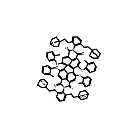 Cc1ccccc1Oc1cc2c3c(cc(Oc4ccccc4C)c4c5c(Oc6ccccc6C)cc6c7c(cc(Oc8ccccc8C)c(c1c34)c75)C(=O)N(c1c(CCC34CCC(CC3)CC4)cccc1CCC13CCC(CC1)CC3)C6=O)C(=O)N(c1c(CCC34CCC(CC3)CC4)cccc1CCC13CCC(CC1)CC3)C2=O